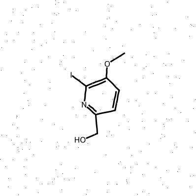 COc1ccc(CO)nc1I